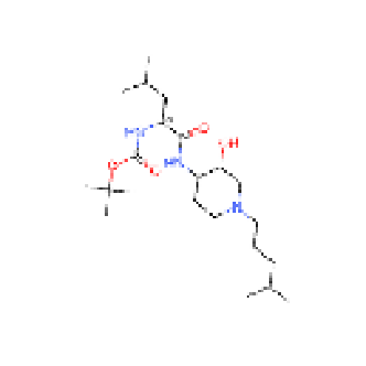 CC(C)CCCN1CCC(NC(=O)[C@H](CC(C)C)NC(=O)OC(C)(C)C)C(O)C1